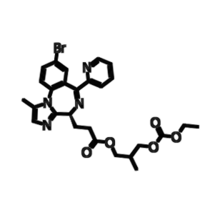 CCOC(=O)OCC(C)COC(=O)CC[C@@H]1N=C(c2ccccn2)c2cc(Br)ccc2-n2c(C)cnc21